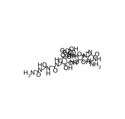 NCC(=O)NCC(=O)NCC(=O)NCC1O[C@H](OP(=O)(O)OP(=O)(O)OC[C@H]2O[C@@H](n3cnc4c(=O)[nH]c(N)nc43)C(O)C2O)C(O)C(O)[C@@H]1O